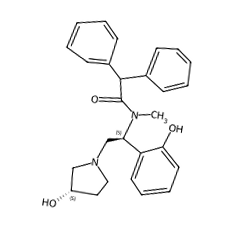 CN(C(=O)C(c1ccccc1)c1ccccc1)[C@H](CN1CC[C@H](O)C1)c1ccccc1O